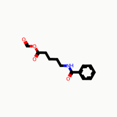 O=COC(=O)CCCCNC(=O)c1ccccc1